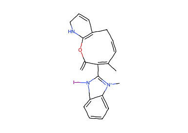 C=C1OC2=C(C=CCN2)C/C=C\C(C)=C/1c1n(I)c2ccccc2[n+]1C